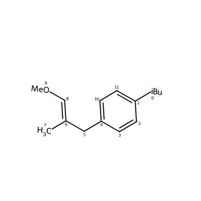 CCC(C)c1ccc(CC(C)=COC)cc1